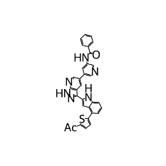 CC(=O)c1ccc(-c2cccc3[nH]c(-c4n[nH]c5ncc(-c6cncc(NC(=O)c7ccccc7)c6)cc45)cc23)s1